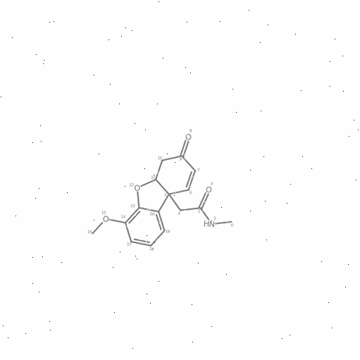 CNC(=O)CC12C=CC(=O)CC1Oc1c(OC)cccc12